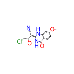 COc1ccc2c(c1)N/C(=C(\C#N)C(=O)CCl)NC2=O